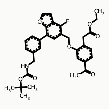 CCOC(=O)Cc1ccc(C(C)=O)cc1OCc1cc(-c2cccc(CNC(=O)OC(C)(C)C)c2)c2occc2c1F